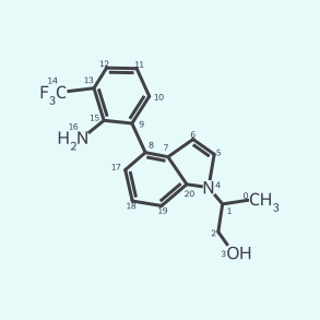 CC(CO)n1ccc2c(-c3cccc(C(F)(F)F)c3N)cccc21